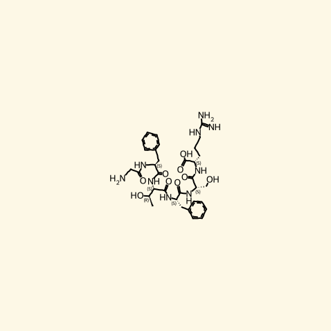 C[C@@H](O)[C@H](NC(=O)[C@H](Cc1ccccc1)NC(=O)CN)C(=O)N[C@@H](Cc1ccccc1)C(=O)N[C@@H](CO)C(=O)N[C@@H](CCCNC(=N)N)C(=O)O